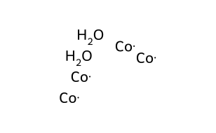 O.O.[Co].[Co].[Co].[Co]